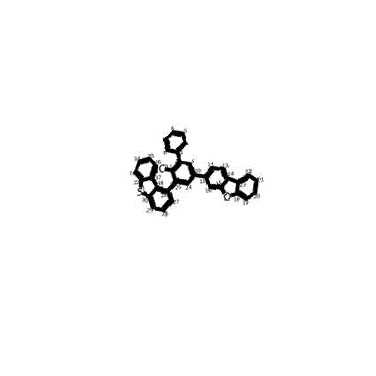 N#Cc1c(-c2ccccc2)cc(-c2ccc3c(c2)oc2ccccc23)cc1-c1cccc2sc3ccccc3c12